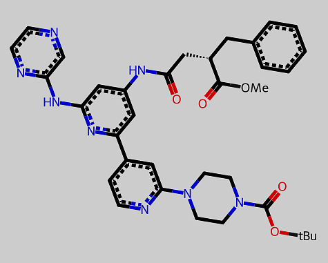 COC(=O)[C@H](CC(=O)Nc1cc(Nc2cnccn2)nc(-c2ccnc(N3CCN(C(=O)OC(C)(C)C)CC3)c2)c1)Cc1ccccc1